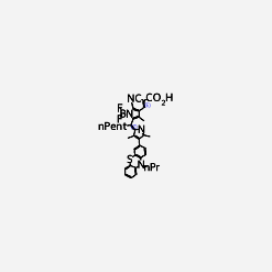 CCCCC/C(=C1/N=C(C)C(c2ccc3c(c2)Sc2ccccc2N3CCC)=C1C)c1c(C)c(/C=C(\C#N)C(=O)O)c(C)n1B(F)F